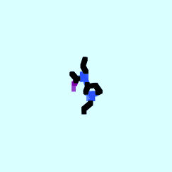 CCCN1CCC(N(CCC)C(C)I)C1